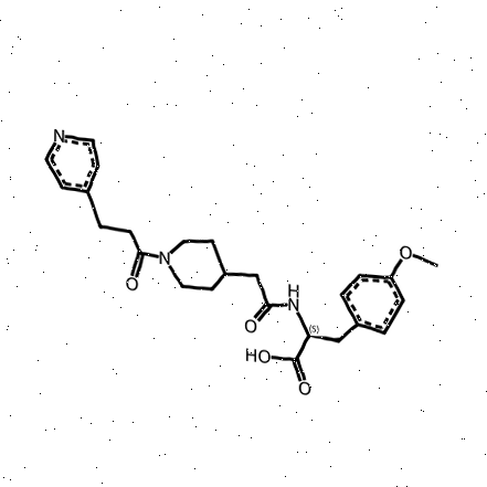 COc1ccc(C[C@H](NC(=O)CC2CCN(C(=O)CCc3ccncc3)CC2)C(=O)O)cc1